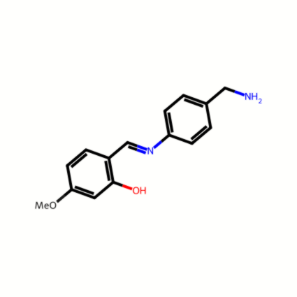 COc1ccc(C=Nc2ccc(CN)cc2)c(O)c1